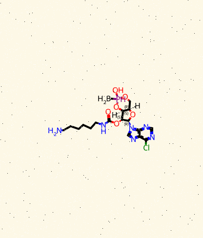 B[PH]1(O)OC[C@H]2O[C@@H](n3cnc4c(Cl)ncnc43)[C@@H](OC(=O)NCCCCCCN)[C@H]2O1